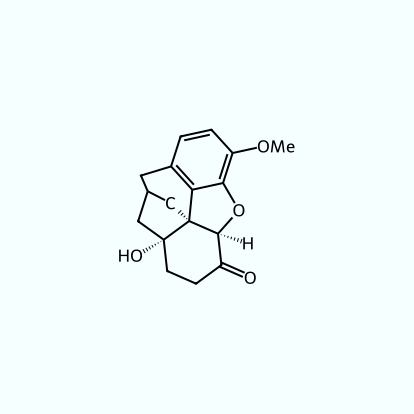 COc1ccc2c3c1O[C@H]1C(=O)CC[C@@]4(O)CC(C2)C[C@]314